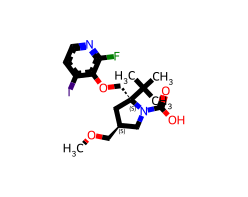 COC[C@@H]1CN(C(=O)O)[C@](COc2c(I)ccnc2F)(C(C)(C)C)C1